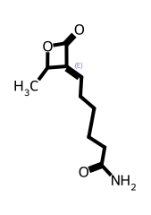 CC1OC(=O)/C1=C/CCCCC(N)=O